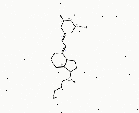 CC(C)CCC[C@H](C)C1CCC2/C(=C/C=C3/C[C@@H](C)[C@H](C)[C@H](O)C3)CCC[C@@]21C